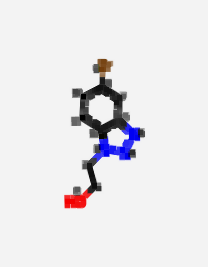 OCCn1nnc2cc(Br)ccc21